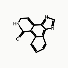 O=C1NCC=c2c1c1ccccc1c1c2=NC=N1